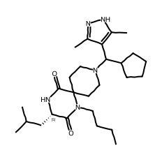 CCCCN1C(=O)[C@H](CC(C)C)NC(=O)C12CCN(C(c1c(C)n[nH]c1C)C1CCCC1)CC2